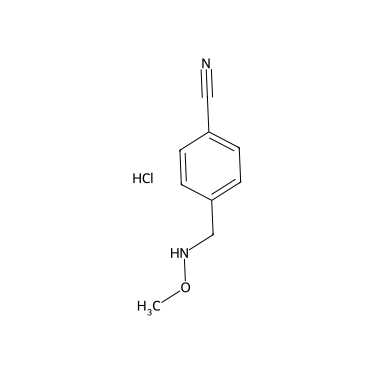 CONCc1ccc(C#N)cc1.Cl